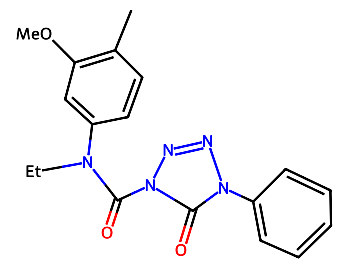 CCN(C(=O)n1nnn(-c2ccccc2)c1=O)c1ccc(C)c(OC)c1